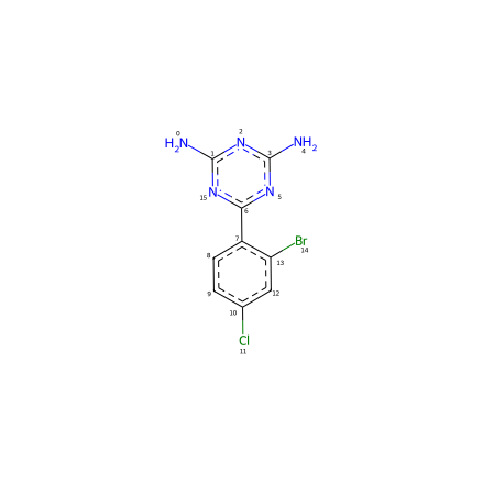 Nc1nc(N)nc(-c2ccc(Cl)cc2Br)n1